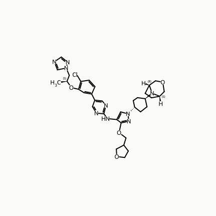 C[C@@H](Cn1cncn1)Oc1cc(-c2cnc(Nc3cn([C@H]4CC[C@H](N5[C@@H]6CC[C@H]5COC6)CC4)nc3OCC3CCOC3)nc2)ccc1Cl